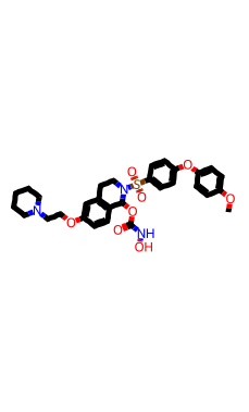 COc1ccc(Oc2ccc(S(=O)(=O)N3CCc4cc(OCCN5CCCCC5)ccc4C3OC(=O)NO)cc2)cc1